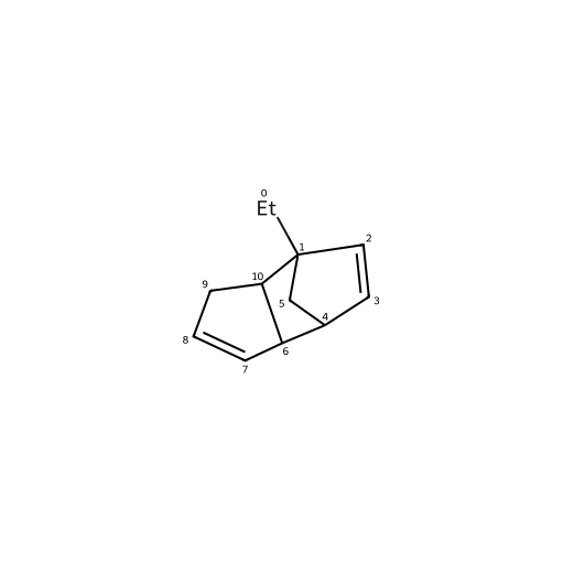 CCC12C=CC(C1)C1C=CCC12